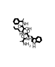 CCCC[C@H](NC(=O)[C@H](Cc1c[nH]c2ccccc12)NC(=O)[C@H](C)N)C(O)C(=O)N[C@H](C)c1ccccc1